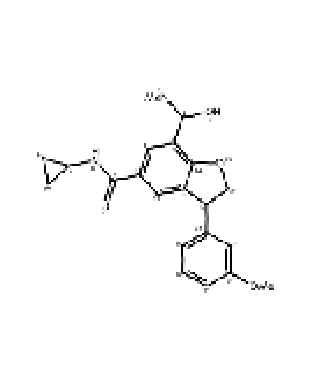 CNC(O)c1cc(C(=O)NC2CC2)cc2c1OCC2c1cccc(OC)c1